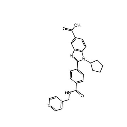 O=C(O)c1ccc2c(c1)nc(-c1ccc(C(=O)NCc3ccncc3)cc1)n2C1CCCC1